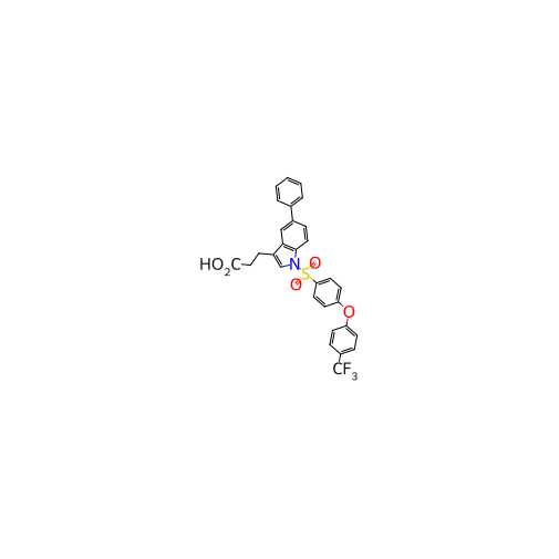 O=C(O)CCc1cn(S(=O)(=O)c2ccc(Oc3ccc(C(F)(F)F)cc3)cc2)c2ccc(-c3ccccc3)cc12